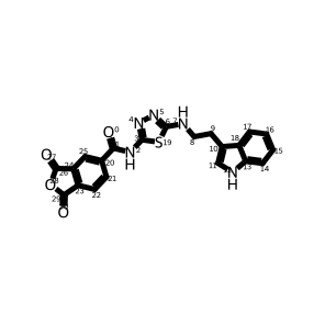 O=C(Nc1nnc(NCCc2c[nH]c3ccccc23)s1)c1ccc2c(c1)C(=O)OC2=O